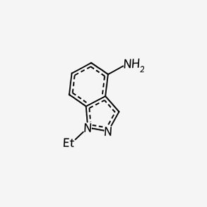 CCn1ncc2c(N)cccc21